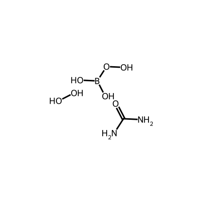 NC(N)=O.OO.OOB(O)O